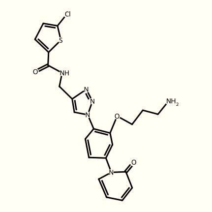 NCCCOc1cc(-n2ccccc2=O)ccc1-n1cc(CNC(=O)c2ccc(Cl)s2)nn1